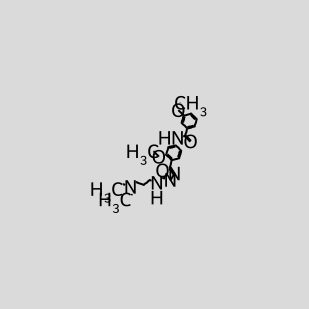 CCN(CC)CCCNc1nnc(-c2ccc(NC(=O)c3cccc(OC)c3)cc2OC)o1